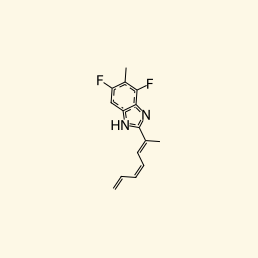 C=C/C=C\C=C(/C)c1nc2c(F)c(C)c(F)cc2[nH]1